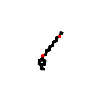 CC(C)OCCCCC/C=C/COc1ccc(C(C)(C)C)cc1